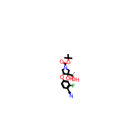 C[C@H](O)[C@]1(O)CN(C(=O)OC(C)(C)C)C[C@@H]1Oc1ccc(C#N)c(F)c1